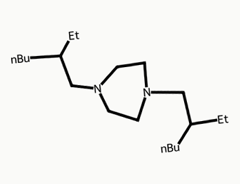 CCCCC(CC)CN1CCN(CC(CC)CCCC)CC1